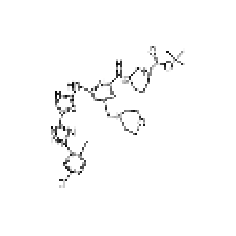 Cc1ccc(Cl)cc1-n1nnc(-c2cnc(Nc3cc(CN4CCOCC4)cc(N[C@H]4CCCN(C(=O)OC(C)(C)C)C4)n3)s2)n1